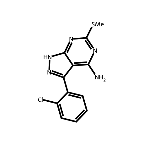 CSc1nc(N)c2c(-c3ccccc3Cl)n[nH]c2n1